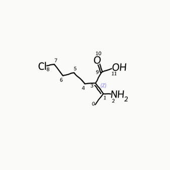 C/C(N)=C(\CCCCCl)C(=O)O